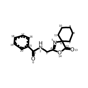 O=C(NCC1=NC2(CCCCC2)C(=O)O1)c1ccccc1